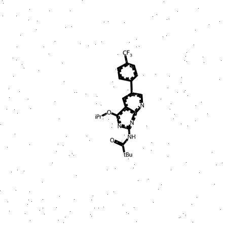 CC(C)Oc1nc(NC(=O)C(C)(C)C)nc2ncc(-c3ccc(C(F)(F)F)cc3)cc12